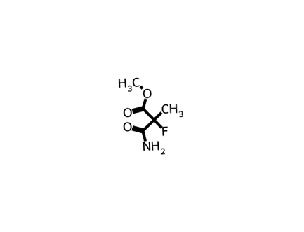 COC(=O)C(C)(F)C(N)=O